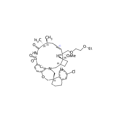 CCOCCOC[C@]1(OC)/C=C/C[C@H](C)[C@@H](C)C(=O)NS(=O)(=O)c2ccc3c(c2)N(C[C@@H]2CC[C@H]21)C[C@@]1(CCCc2cc(Cl)ccc21)CO3